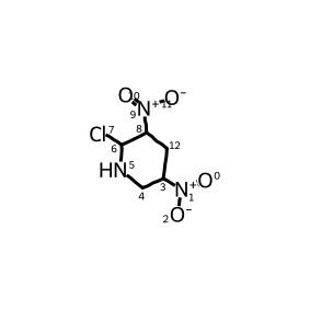 O=[N+]([O-])C1CNC(Cl)C([N+](=O)[O-])C1